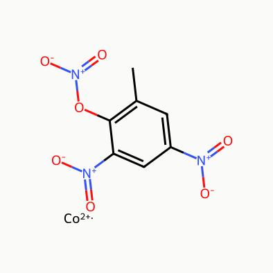 Cc1cc([N+](=O)[O-])cc([N+](=O)[O-])c1O[N+](=O)[O-].[Co+2]